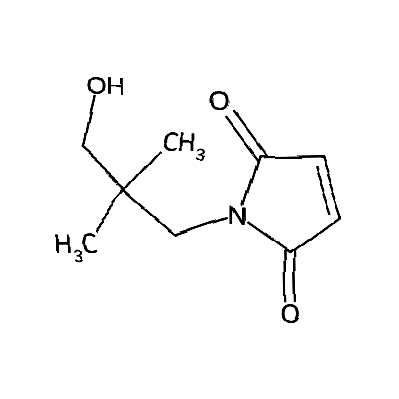 CC(C)(CO)CN1C(=O)C=CC1=O